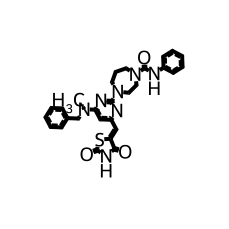 CN(Cc1ccccc1)c1cc(/C=C2\SC(=O)NC2=O)nc(N2CCCN(C(=O)Nc3ccccc3)CC2)n1